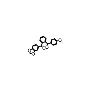 COc1ccc(C(=O)c2ccccc2C(=O)c2ccc3c(c2)OCO3)cc1